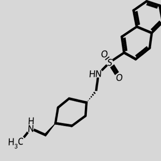 CNC[C@H]1CC[C@H](CNS(=O)(=O)c2ccc3ccccc3c2)CC1